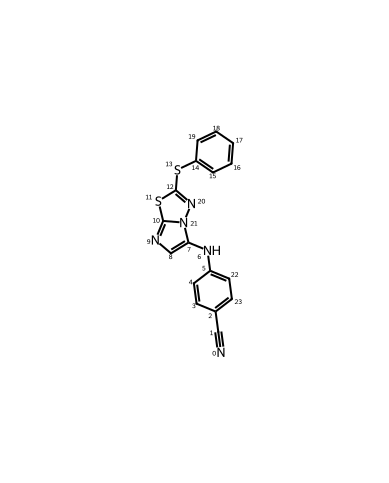 N#Cc1ccc(Nc2cnc3sc(Sc4ccccc4)nn23)cc1